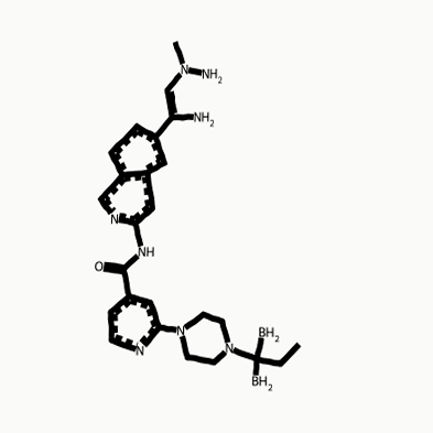 BC(B)(CC)N1CCN(c2cc(C(=O)Nc3cc4cc(/C(N)=C/N(C)N)ccc4cn3)ccn2)CC1